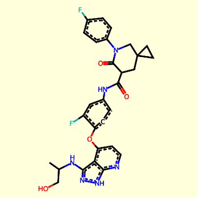 CC(CO)Nc1n[nH]c2nccc(Oc3ccc(NC(=O)C4CC5(CC5)CN(c5ccc(F)cc5)C4=O)cc3F)c12